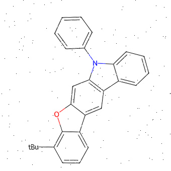 CC(C)(C)c1cccc2c1oc1cc3c(cc12)c1ccccc1n3-c1ccccc1